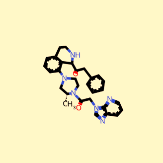 C[C@@H]1CN(c2cccc3c2C(C(=O)Cc2ccccc2)NCC3)CCN1C(=O)Cn1cnc2cccnc21